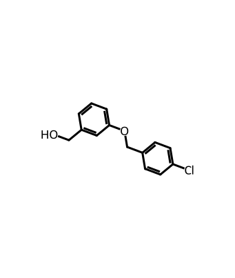 OCc1cccc(OCc2ccc(Cl)cc2)c1